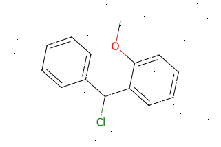 COc1ccccc1C(Cl)c1ccccc1